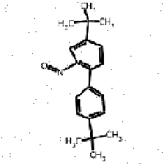 CC(C)(C)c1ccc(-c2ccc(C(C)(C)C)cc2N=O)cc1